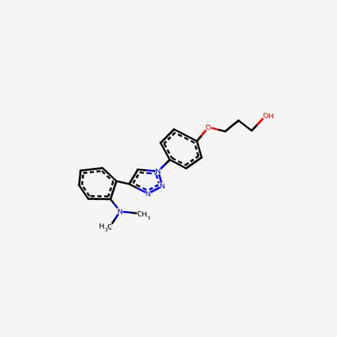 CN(C)c1ccccc1-c1cn(-c2ccc(OCCCO)cc2)nn1